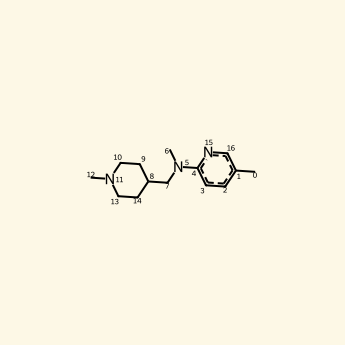 Cc1ccc(N(C)CC2CCN(C)CC2)nc1